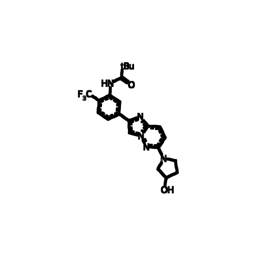 CC(C)(C)C(=O)Nc1cc(-c2cn3nc(N4CCC(O)C4)ccc3n2)ccc1C(F)(F)F